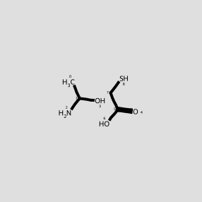 CC(N)O.O=C(O)CS